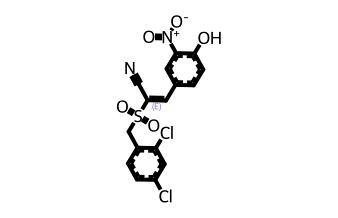 N#C/C(=C\c1ccc(O)c([N+](=O)[O-])c1)S(=O)(=O)Cc1ccc(Cl)cc1Cl